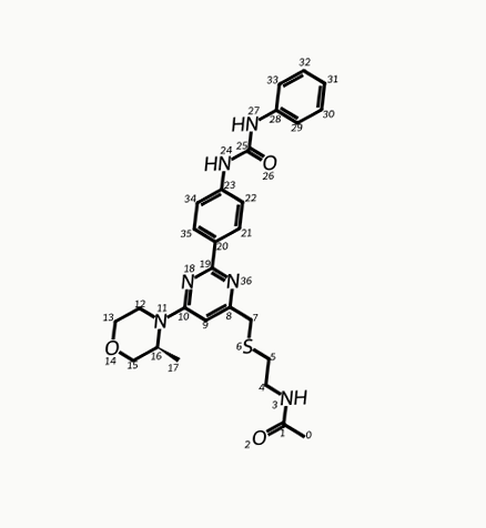 CC(=O)NCCSCc1cc(N2CCOC[C@@H]2C)nc(-c2ccc(NC(=O)Nc3ccccc3)cc2)n1